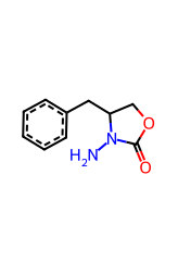 NN1C(=O)OCC1Cc1ccccc1